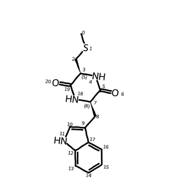 CSC[C@H]1NC(=O)[C@@H](Cc2c[nH]c3ccccc23)NC1=O